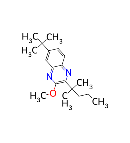 CCCC(C)(C)c1nc2ccc(C(C)(C)C)cc2nc1OC